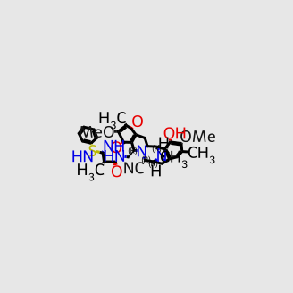 COC1=C(C)C(=O)C2=C(C1=O)[C@H](CNC(=O)C(C)C(=N)S(=N)c1ccccc1)N1C(C2)[C@H]2c3c(cc(C)c(OC)c3O)C[C@H]([C@@H]1C#N)N2C